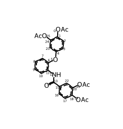 CC(=O)Oc1ccc(Oc2ccccc2NC(=O)c2ccc(OC(C)=O)c(OC(C)=O)c2)cc1OC(C)=O